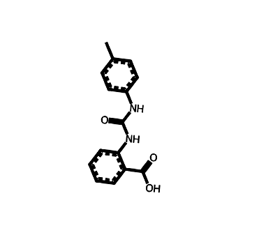 Cc1ccc(NC(=O)Nc2ccccc2C(=O)O)cc1